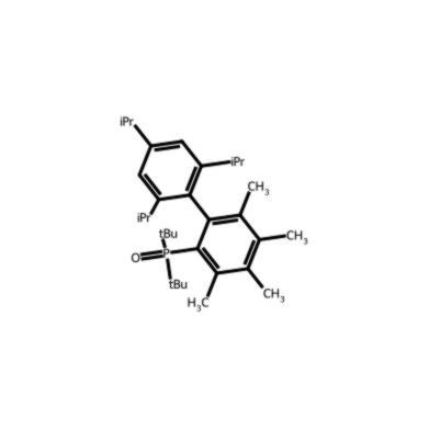 Cc1c(C)c(C)c(P(=O)(C(C)(C)C)C(C)(C)C)c(-c2c(C(C)C)cc(C(C)C)cc2C(C)C)c1C